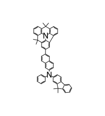 CC1(C)c2ccccc2-c2ccc(N(c3ccccc3)c3ccc4cc(-c5cc6c7c(c5)c5cccc8c5n7-c5c(cccc5C6(C)C)C8(C)C)ccc4c3)cc21